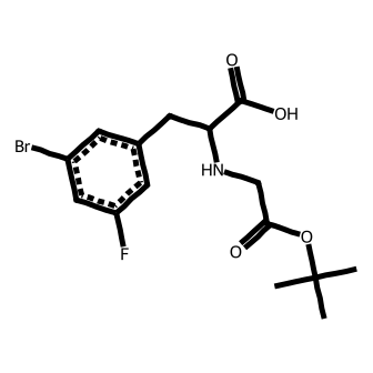 CC(C)(C)OC(=O)CNC(Cc1cc(F)cc(Br)c1)C(=O)O